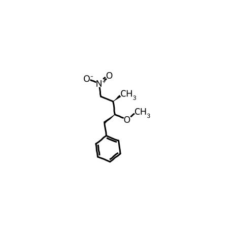 CO[C@@H](Cc1ccccc1)[C@H](C)C[N+](=O)[O-]